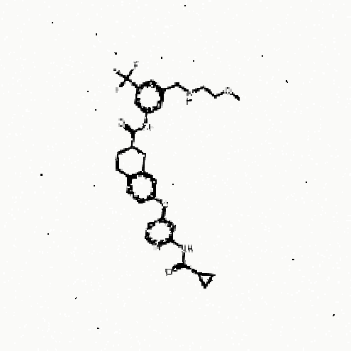 COCCNCc1cc(NC(=O)C2CCc3ccc(Oc4ccnc(NC(=O)C5CC5)c4)cc3C2)cc(C(F)(F)F)c1